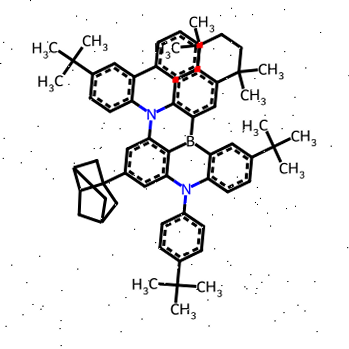 CC(C)(C)c1ccc(N2c3ccc(C(C)(C)C)cc3B3c4cc5c(cc4N(c4ccc(C(C)(C)C)cc4-c4ccccc4)c4cc(C67CC8CC(C6)C7C8)cc2c43)C(C)(C)CCC5(C)C)cc1